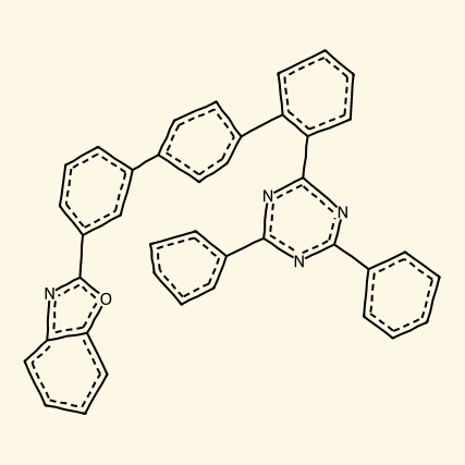 c1ccc(-c2nc(-c3ccccc3)nc(-c3ccccc3-c3ccc(-c4cccc(-c5nc6ccccc6o5)c4)cc3)n2)cc1